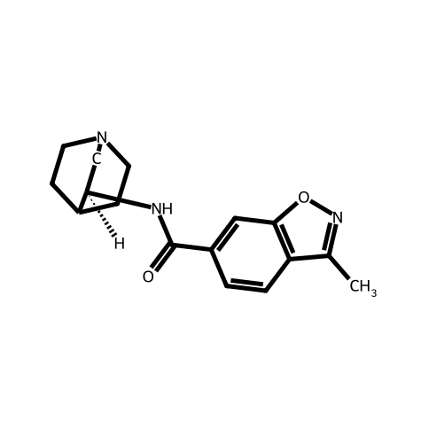 Cc1noc2cc(C(=O)N[C@@H]3CN4CCC3CC4)ccc12